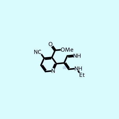 CCN/C=C(\C=N)c1nccc(C#N)c1C(=O)OC